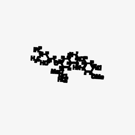 COc1cc(Nc2ncnc3cc(OCC(O)CN(C)C(C)C)c(OC)cc23)c(Cl)cc1Cl.Cl.Cl